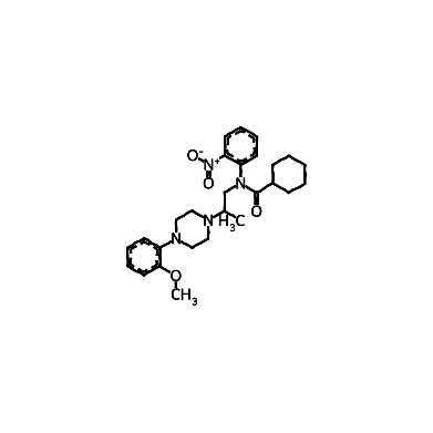 COc1ccccc1N1CCN(C(C)CN(C(=O)C2CCCCC2)c2ccccc2[N+](=O)[O-])CC1